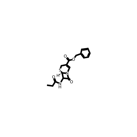 CCC(=O)NC1C(=O)N2C=C(C(=O)OCc3ccccc3)CS[C@H]12